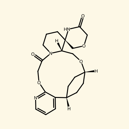 O=C1COC[C@@]2(CCCN3C(=O)COc4ncccc4[C@H]4CC[C@H](CC4)OC[C@H]32)N1